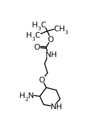 CC(C)(C)OC(=O)NCCOC1CCNCC1N